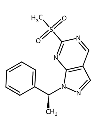 C[C@@H](c1ccccc1)n1ncc2cnc(S(C)(=O)=O)nc21